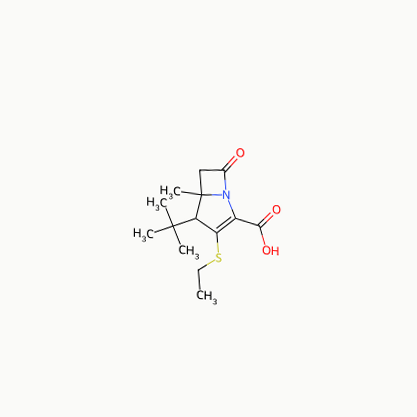 CCSC1=C(C(=O)O)N2C(=O)CC2(C)C1C(C)(C)C